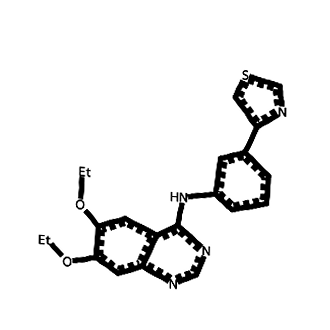 CCOc1cc2ncnc(Nc3cccc(-c4cscn4)c3)c2cc1OCC